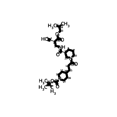 C#C[C@@H](CNC(=O)[C@@H]1CCCN(C(=O)CCC2CCN(C(=O)OC(C)(C)C)CC2)C1)C(=O)OCC(C)C